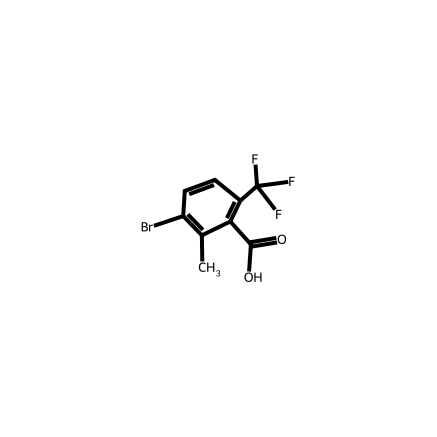 Cc1c(Br)ccc(C(F)(F)F)c1C(=O)O